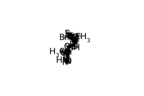 COc1cc(C(=O)NCC(=O)c2ccc(OC)c(-c3ccc(F)c(Br)c3)n2)ccc1OCc1ncn[nH]1